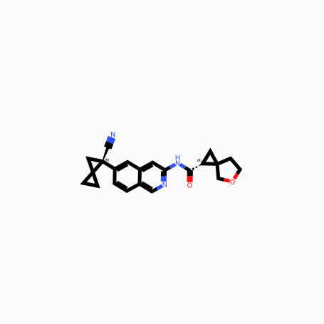 N#C[C@]1(c2ccc3cnc(NC(=O)[C@@H]4CC45CCOC5)cc3c2)CC12CC2